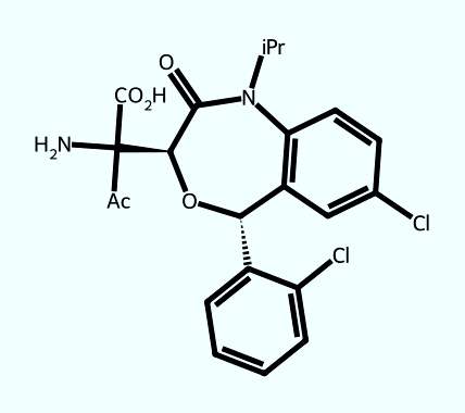 CC(=O)C(N)(C(=O)O)[C@@H]1O[C@@H](c2ccccc2Cl)c2cc(Cl)ccc2N(C(C)C)C1=O